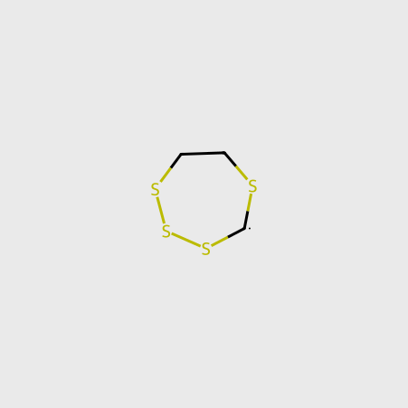 [CH]1SCCSSS1